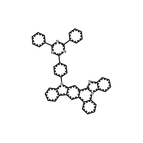 c1ccc(-c2nc(-c3ccccc3)nc(-c3ccc(-n4c5ccccc5c5cc6c7ccccc7n7c8ccccc8nc7c6cc54)cc3)n2)cc1